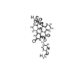 COc1ccc(CONC(=O)[C@@H]2c3ccccc3C(=O)N(C3CCCC[C@@H]3NS(C)(=O)=O)[C@H]2c2ccc(Cl)cc2)cn1